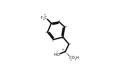 O=C(O)[C@H](O)Cc1ccc(C(F)(F)F)cc1